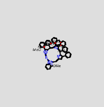 COc1ccccc1C1=Cc2cc3nnc(nc4nc(c(-c5ccccc5OC)c5c(-c6ccccc6OC)c(-c6ccccc6OC)c(c(-c6ccccc6OC)c1n2)n5-c1ccccc1OC)C(c1ccccc1OC)=N4)n3-c1ccccc1OC